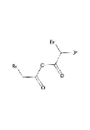 O=C(CBr)OC(=O)C(Br)Br